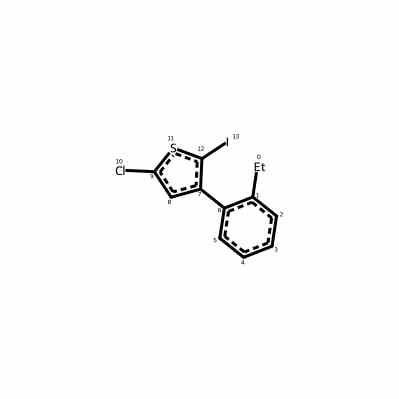 CCc1ccccc1-c1cc(Cl)sc1I